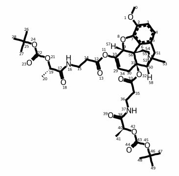 COc1ccc2c3c1O[C@H]1C(OC(=O)CCNC(=O)[C@H](C)OC(=O)OC(C)(C)C)=CC[C@@]4(OC(=O)CCNC(=O)[C@H](C)OC(=O)OC(C)(C)C)[C@@H](C2)N(C)CC[C@]314